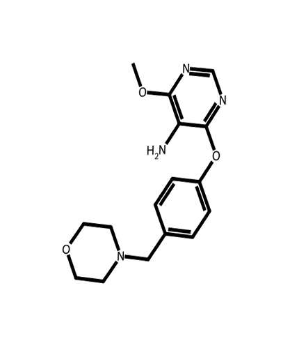 COc1ncnc(Oc2ccc(CN3CCOCC3)cc2)c1N